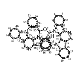 N=C(OC(=N)n1c2ccccc2c2ncc3c4ccccc4n(-c4ccccc4)c3c21)n1c2ccccc2c2ncc3c4ccccc4n(-c4ccccc4)c3c21